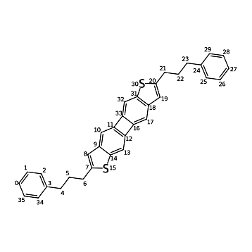 c1ccc(CCCc2cc3cc4c(cc3s2)-c2cc3cc(CCCc5ccccc5)sc3cc2-4)cc1